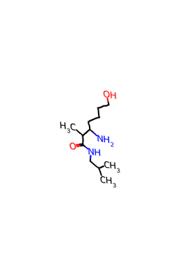 CC(C)CNC(=O)C(C)C(N)CCCCO